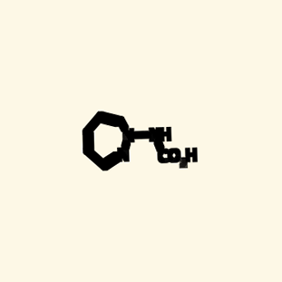 O=C(O)NN1C=CC=CC=N1